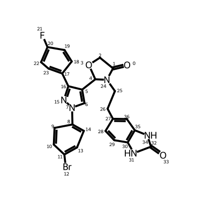 O=C1COC(c2cn(-c3ccc(Br)cc3)nc2-c2ccc(F)cc2)N1CCc1ccc2[nH]c(=O)[nH]c2c1